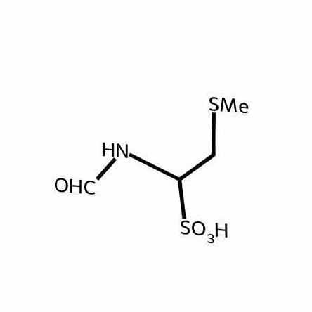 CSCC(NC=O)S(=O)(=O)O